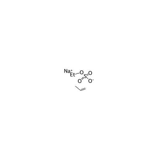 C=CC.CCOS(=O)(=O)[O-].[Na+]